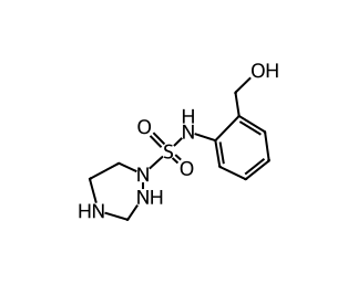 O=S(=O)(Nc1ccccc1CO)N1CCNCN1